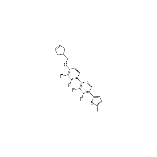 Cc1ccc(-c2ccc(-c3ccc(OCC4CC=CC4)c(F)c3F)c(F)c2F)s1